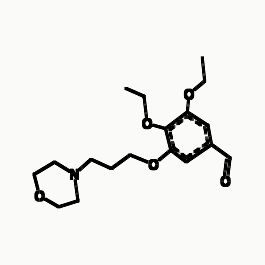 CCOc1cc(C=O)cc(OCCCN2CCOCC2)c1OCC